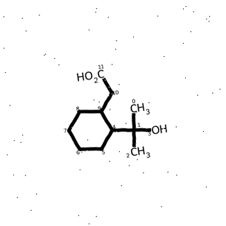 CC(C)(O)C1CCCCC1CC(=O)O